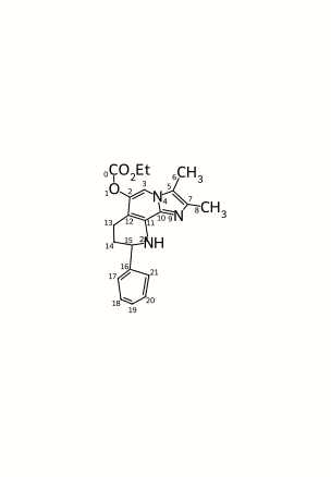 CCOC(=O)Oc1cn2c(C)c(C)nc2c2c1CCC(c1ccccc1)N2